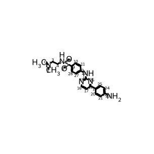 CN(C)CCNS(=O)(=O)c1ccc(Nc2nccc(-c3ccc(N)cc3)n2)cc1